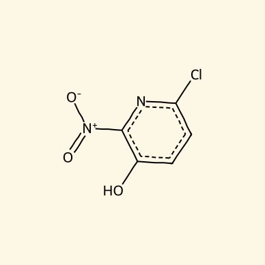 O=[N+]([O-])c1nc(Cl)ccc1O